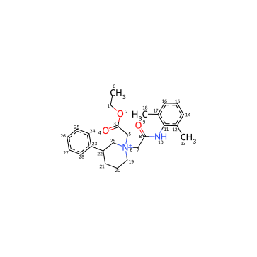 CCOC(=O)C[N+]1(CC(=O)Nc2c(C)cccc2C)CCCC(c2ccccc2)C1